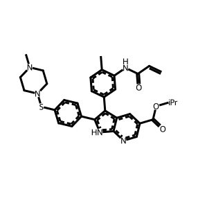 C=CC(=O)Nc1cc(-c2c(-c3ccc(SN4CCN(C)CC4)cc3)[nH]c3ncc(C(=O)OC(C)C)cc23)ccc1C